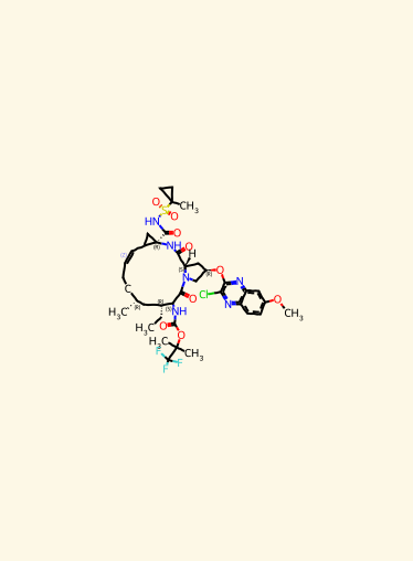 CC[C@@H]1C[C@H](C)CC/C=C\C2C[C@@]2(C(=O)NS(=O)(=O)C2(C)CC2)NC(=O)[C@@H]2C[C@@H](Oc3nc4cc(OC)ccc4nc3Cl)CN2C(=O)[C@H]1NC(=O)OC(C)(C)C(F)(F)F